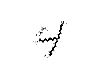 CCCCCCCCP(CCCCCCCC)CCCCCCCC.CCO[SiH3]